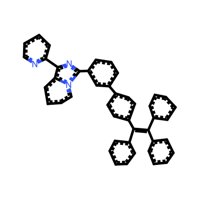 c1ccc(C(=C(c2ccccc2)c2ccc(-c3cccc(-c4nc(-c5ccccn5)c5ccccn45)c3)cc2)c2ccccc2)cc1